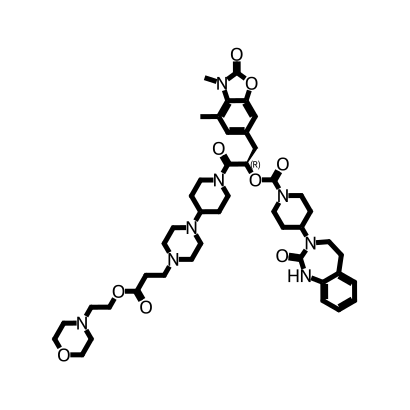 Cc1cc(C[C@@H](OC(=O)N2CCC(N3CCc4ccccc4NC3=O)CC2)C(=O)N2CCC(N3CCN(CCC(=O)OCCN4CCOCC4)CC3)CC2)cc2oc(=O)n(C)c12